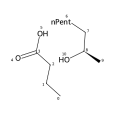 CCCC(=O)O.CCCCCC[C@@H](C)O